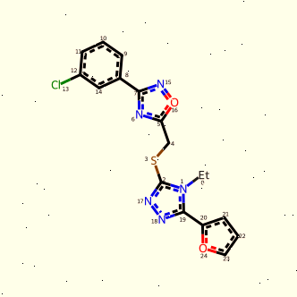 CCn1c(SCc2nc(-c3cccc(Cl)c3)no2)nnc1-c1ccco1